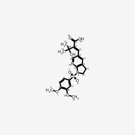 COc1ccc(S(=O)(=O)N2CCc3cc(/C=C(/C(=O)O)C(C)(C)C)cnc32)cc1OC